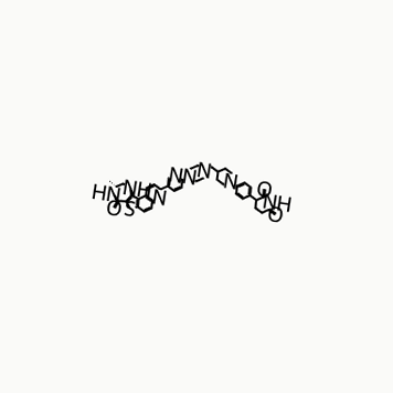 C[C@@H]1CNc2c(sc3ccc4nc(-c5ccc(N6CCN(CC7CCN(c8ccc(C9CCC(=O)NC9=O)cc8)CC7)CC6)nc5)ccc4c23)C(=O)N1